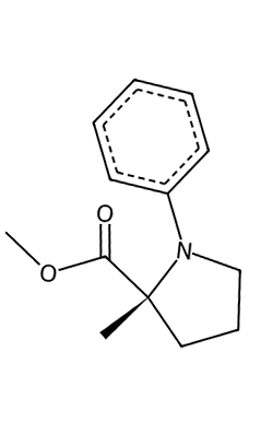 COC(=O)[C@@]1(C)CCCN1c1ccccc1